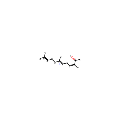 CC(=O)C(C)=CC/C=C(\C)CCC=C(C)C